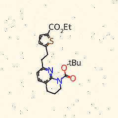 CCOC(=O)c1ccc(CCc2ccc3c(n2)N(C(=O)OC(C)(C)C)CCC3)s1